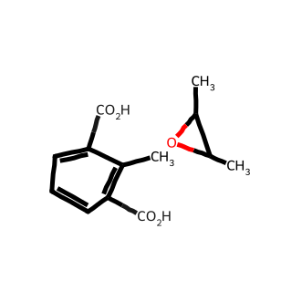 CC1OC1C.Cc1c(C(=O)O)cccc1C(=O)O